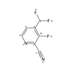 N#Cc1nccc(C(F)F)c1F